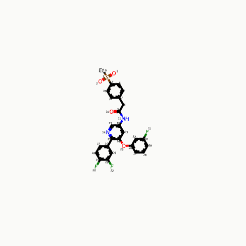 CCS(=O)(=O)c1ccc(CC(=O)Nc2cnc(-c3ccc(F)c(F)c3)c(Oc3cccc(F)c3)c2)cc1